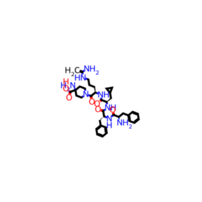 C=C(N)NCCC[C@@H](NC(=O)[C@@H](CC1CC1)NC(=O)[C@@H](Cc1ccccc1)NC(=O)[C@H](N)Cc1ccccc1)C(=O)N1CCC(N)(C(=O)O)CC1